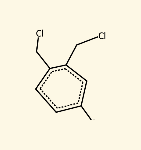 [CH2]c1ccc(CCl)c(CCl)c1